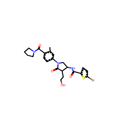 Cc1cc(N2CC(NC(=O)c3ccc(Br)s3)C(CCO)C2=O)ccc1C(=O)N1CCCC1